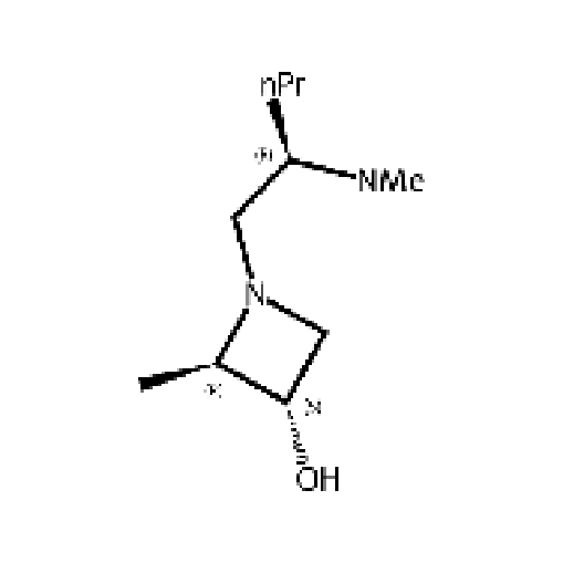 CCC[C@H](CN1C[C@H](O)[C@H]1C)NC